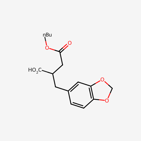 CCCCOC(=O)CC(Cc1ccc2c(c1)OCO2)C(=O)O